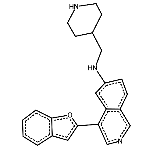 c1ccc2oc(-c3cncc4ccc(NCC5CCNCC5)cc34)cc2c1